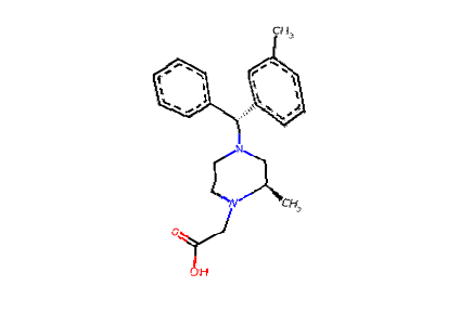 Cc1cccc([C@@H](c2ccccc2)N2CCN(CC(=O)O)[C@H](C)C2)c1